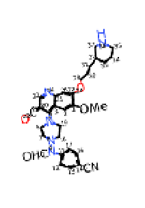 COC1=CC2=C(N3CCN(N(C=O)c4ccc(C#N)cc4)CC3)C(=C=O)C=NC2C=C1OCCCC1CCCNC1